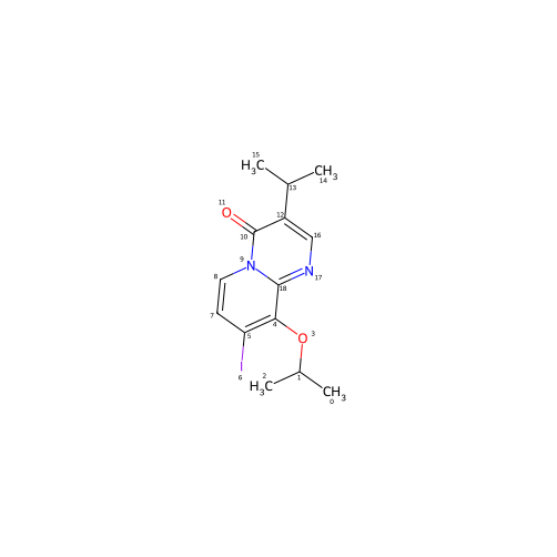 CC(C)Oc1c(I)ccn2c(=O)c(C(C)C)cnc12